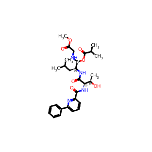 COC(=O)CNB(OC(=O)C(C)C)[C@H](CC(C)C)NC(=O)[C@@H](NC(=O)c1cccc(-c2ccccc2)n1)[C@@H](C)O